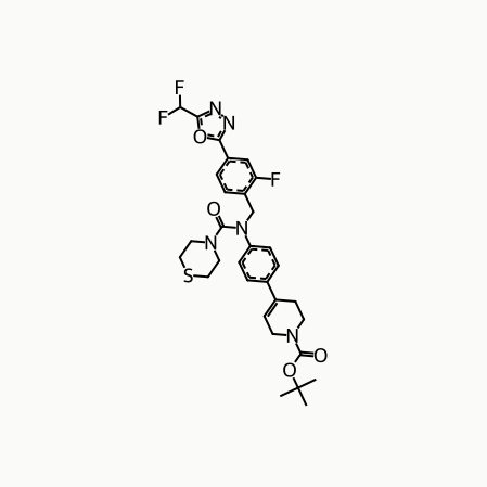 CC(C)(C)OC(=O)N1CC=C(c2ccc(N(Cc3ccc(-c4nnc(C(F)F)o4)cc3F)C(=O)N3CCSCC3)cc2)CC1